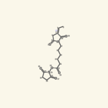 C/C=C1/CC(=O)N(CCCCCC(=O)ON2C(=O)CCC2=O)C1=O